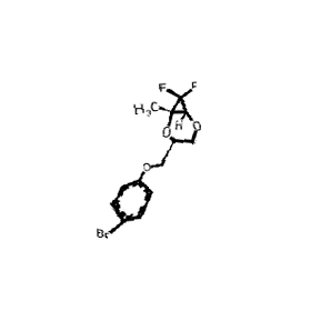 C[C@]12O[C@H](COc3ccc(Br)cc3)CO[C@H]1C2(F)F